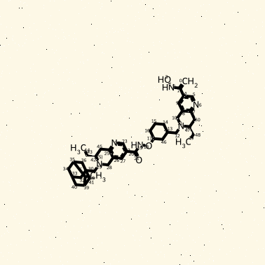 C=C(NO)c1cnc2c(c1)CN(CC1CCCC(ONC(=O)c3cnc4c(c3)CN(CC35CC6CC(C3)C(C)C(C6)C5)[C@@H](CC)C4)C1)[C@H](CC)C2